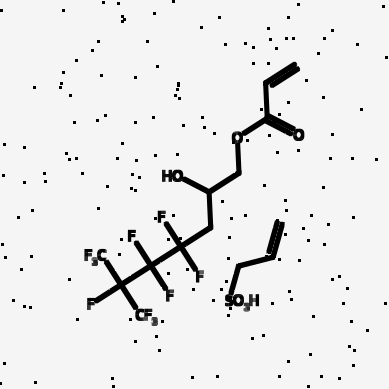 C=CC(=O)OCC(O)CC(F)(F)C(F)(F)C(F)(C(F)(F)F)C(F)(F)F.C=CCS(=O)(=O)O